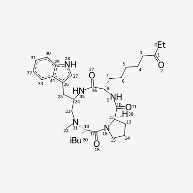 CCC(=O)CCCCC[C@@H]1NC(=O)[C@H]2CCCN2C(=O)[C@H]([C@@H](C)CC)N(C)CC(Cc2c[nH]c3ccccc23)NC1=O